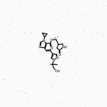 C[C@@H](Oc1nc(-c2cnn(C(C)(C)CO)c2)cc2ncn(C3CC3)c12)C1CNC(=O)C1